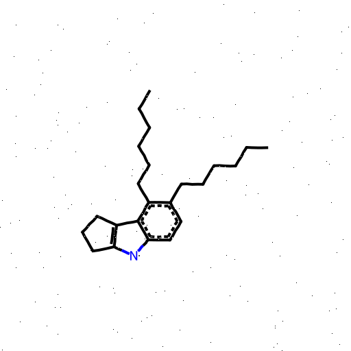 CCCCCCc1ccc2c(c1CCCCCC)C1=C(CCC1)[N]2